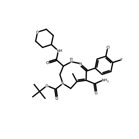 C/C1=C(C(N)=O)\C(c2ccc(F)c(Cl)c2)=N/NC(C(=O)NC2CCOCC2)CN(C(=O)OC(C)(C)C)C1